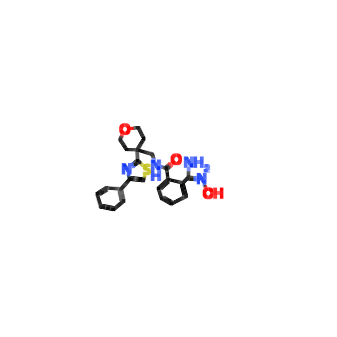 N/C(=N/O)c1ccccc1C(=O)NCC1(c2nc(-c3ccccc3)cs2)CCOCC1